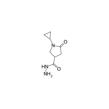 NNC(=O)C1CC(=O)N(C2CC2)C1